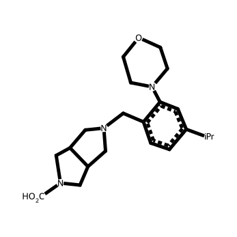 CC(C)c1ccc(CN2CC3CN(C(=O)O)CC3C2)c(N2CCOCC2)c1